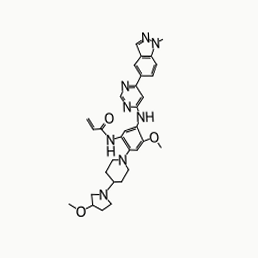 C=CC(=O)Nc1cc(Nc2cc(-c3ccc4c(cnn4C)c3)ncn2)c(OC)cc1N1CCC(N2CCC(OC)C2)CC1